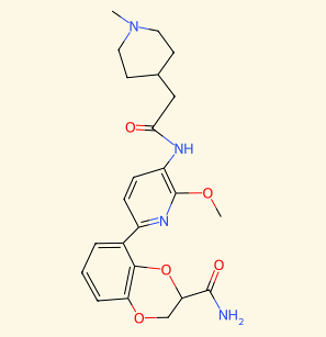 COc1nc(-c2cccc3c2OC(C(N)=O)CO3)ccc1NC(=O)CC1CCN(C)CC1